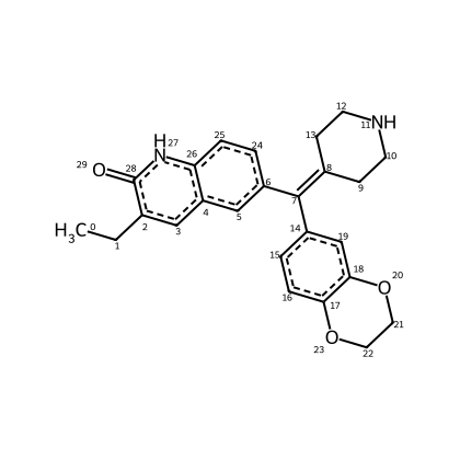 CCc1cc2cc(C(=C3CCNCC3)c3ccc4c(c3)OCCO4)ccc2[nH]c1=O